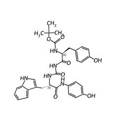 CC(C)(C)OC(=O)N[C@@H](Cc1ccc(O)cc1)C(=O)NC(=O)N[C@@H](Cc1c[nH]c2ccccc12)C(=O)Nc1ccc(O)cc1